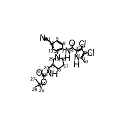 Cc1[nH]c(C(=O)Nc2ccc(C#N)cc2N2CCCC(CNC(=O)OC(C)(C)C)C2)c(Cl)c1Cl